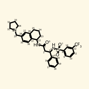 O=C(CC(NS(=O)(=O)c1cccc(C(F)(F)F)c1)c1ccccc1)NC1CCCc2cc(CN3CCCC3)ccc21